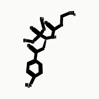 CCOP(=O)(OCC)[C@@H](CC(=O)c1ccc(C)cc1)NC(=O)OCC(Cl)(Cl)Cl